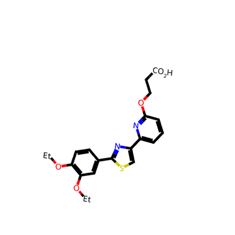 CCOc1ccc(-c2nc(-c3cccc(OCCC(=O)O)n3)cs2)cc1OCC